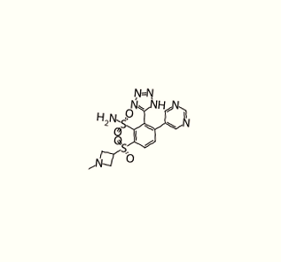 CN1CC(S(=O)(=O)c2ccc(-c3cncnc3)c(-c3nnn[nH]3)c2S(N)(=O)=O)C1